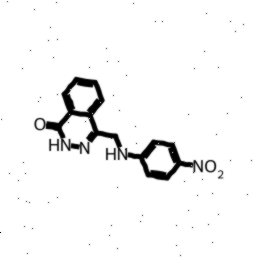 O=c1[nH]nc(CNc2ccc([N+](=O)[O-])cc2)c2ccccc12